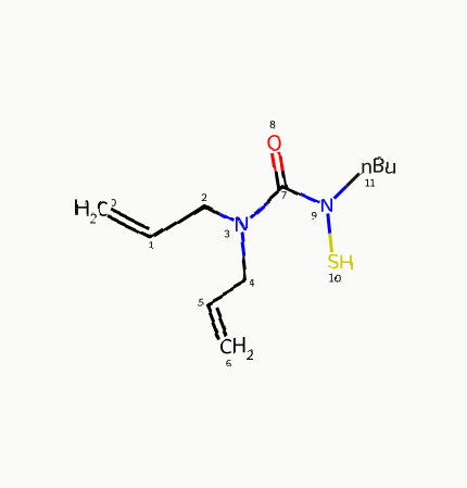 C=CCN(CC=C)C(=O)N(S)CCCC